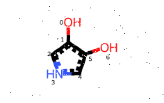 Oc1[c][nH]cc1O